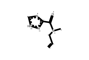 C=CCN(C)C(=O)c1nc[nH]n1